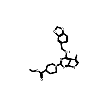 CCOC(=O)C1CCN(c2nc(NCc3ccc4c(c3)OCO4)c3c(C)csc3n2)CC1